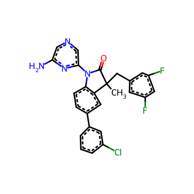 CC1(Cc2cc(F)cc(F)c2)C(=O)N(c2cncc(N)n2)c2ccc(-c3cccc(Cl)c3)cc21